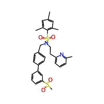 Cc1cc(C)c(S(=O)(=O)N(CCc2cccc(C)n2)Cc2ccc(-c3cccc(S(C)(=O)=O)c3)cc2)c(C)c1